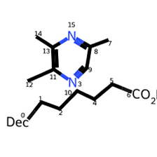 CCCCCCCCCCCCCCCC(=O)O.Cc1cnc(C)c(C)n1